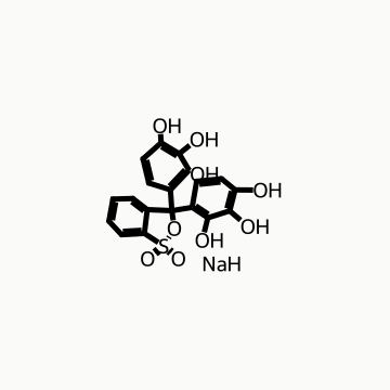 O=S1(=O)OC(c2ccc(O)c(O)c2O)(c2ccc(O)c(O)c2O)c2ccccc21.[NaH]